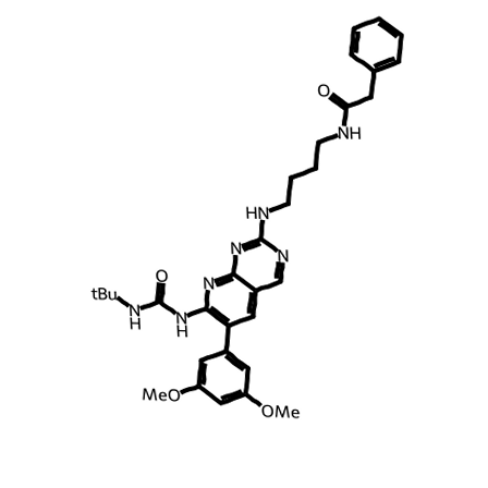 COc1cc(OC)cc(-c2cc3cnc(NCCCCNC(=O)Cc4ccccc4)nc3nc2NC(=O)NC(C)(C)C)c1